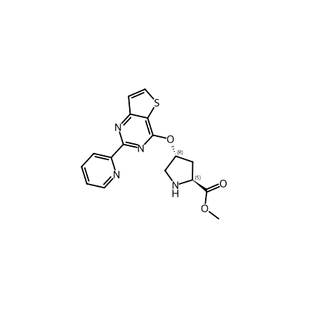 COC(=O)[C@@H]1C[C@@H](Oc2nc(-c3ccccn3)nc3ccsc23)CN1